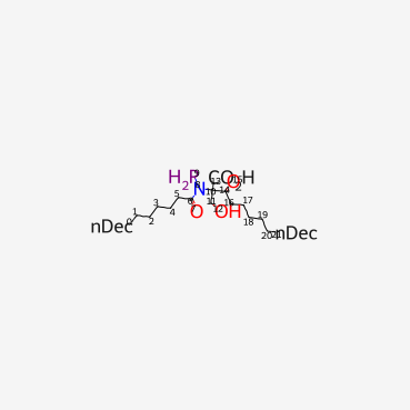 CCCCCCCCCCCCCCCC(=O)N(P)C(CO)(C(=O)O)C(=O)CCCCCCCCCCCCCCC